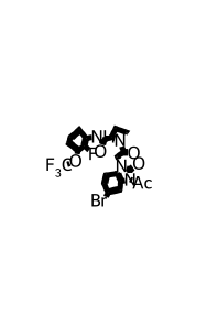 CC(=O)n1c(=O)n(CC(=O)N2CCC2C(=O)Nc2cccc(OC(F)(F)F)c2F)c2ccc(Br)cc21